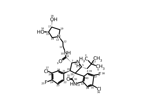 CC(C)(C)C[C@H]1N[C@@H](C(=O)NCCN2C[C@@H](O)[C@H](O)C2)[C@H](c2ccc(F)c(Cl)c2)[C@@]12C(=O)Nc1cc(Cl)c(F)cc12